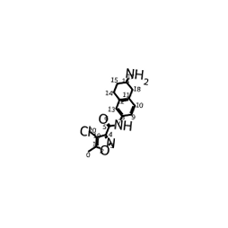 Cc1onc(C(=O)Nc2ccc3c(c2)CCC(N)C3)c1Cl